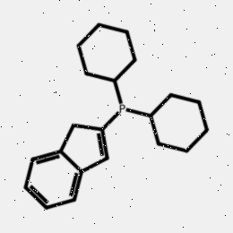 C1=C(P(C2CCCCC2)C2CCCCC2)Cc2ccccc21